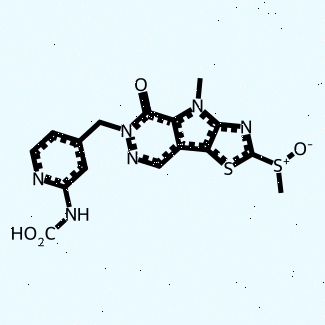 Cn1c2nc([S+](C)[O-])sc2c2cnn(Cc3ccnc(NC(=O)O)c3)c(=O)c21